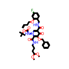 C=CCCOc1cc(F)ccc1CNC(=O)c1cn(NC(=O)OC(C)(C)C)c(C(=O)NCCCC(OC)OC)c(OCc2ccccc2)c1=O